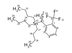 C=[C](c1ccccc1C(F)(F)F)[Sn]([CH2]CCC)([CH2]CCC)[CH2]CCC